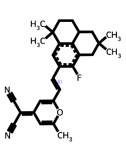 CC1=CC(=C(C#N)C#N)C=C(/C=C/c2cc3c4c(c2F)CC(C)(C)CC4CCC3(C)C)O1